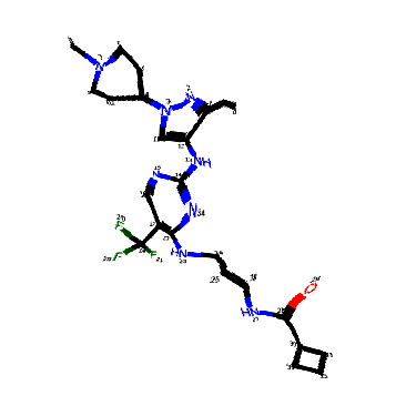 Cc1nn(C2CCN(C)CC2)cc1Nc1ncc(C(F)(F)F)c(NCCCNC(=O)C2CCC2)n1